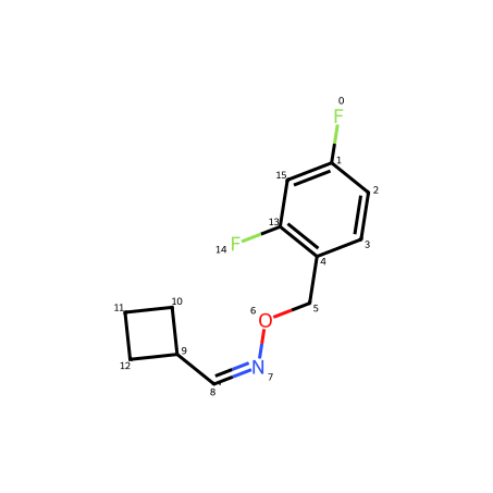 Fc1ccc(CO/N=[C]\C2CCC2)c(F)c1